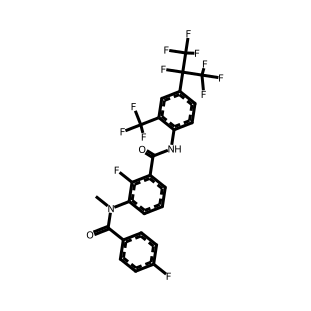 CN(C(=O)c1ccc(F)cc1)c1cccc(C(=O)Nc2ccc(C(F)(C(F)(F)F)C(F)(F)F)cc2C(F)(F)F)c1F